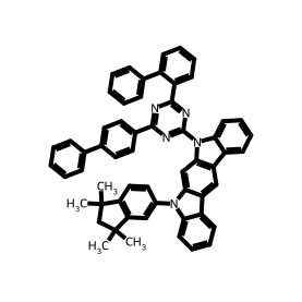 CC1(C)CC(C)(C)c2cc(-n3c4ccccc4c4cc5c6ccccc6n(-c6nc(-c7ccc(-c8ccccc8)cc7)nc(-c7ccccc7-c7ccccc7)n6)c5cc43)ccc21